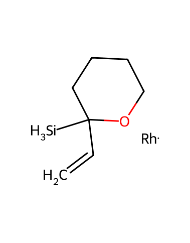 C=CC1([SiH3])CCCCO1.[Rh]